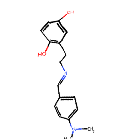 CN(C)c1ccc(C=NCCc2cc(O)ccc2O)cc1